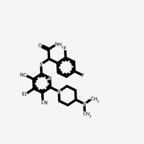 CCc1c(C#N)c(SC(C(N)=O)c2ccc(F)cc2F)nc(N2CCC(N(C)C)CC2)c1C#N